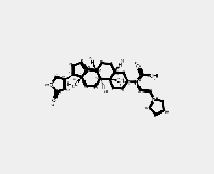 C[C@]12CC[C@H](N(CCN3CCCC3)C(=O)O)C[C@H]1CC[C@H]1C3=CC[C@H](C4=CC(=O)OC4)[C@@]3(C)CC[C@@H]12